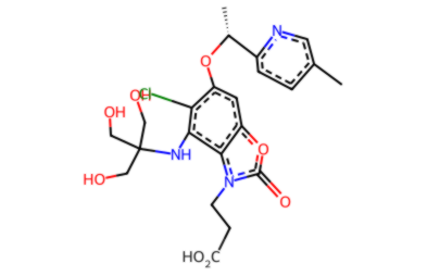 Cc1ccc([C@@H](C)Oc2cc3oc(=O)n(CCC(=O)O)c3c(NC(CO)(CO)CO)c2Cl)nc1